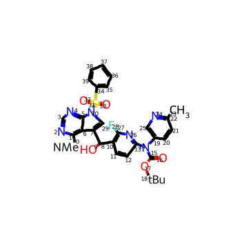 CNc1ncnc2c1c(C(O)c1ccc(N(C(=O)OC(C)(C)C)c3ccc(C)nc3)nc1F)cn2S(=O)(=O)c1ccccc1